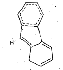 C1=CCC2=Cc3ccccc3C2=C1.[H+]